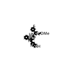 COCCN1C[C@@H](NC(=O)Nc2c(C)c(-c3cnc4c(c3)CNC4)nn2-c2ccccc2)[C@H](c2cccc(F)c2)C1